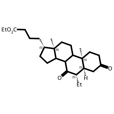 CCOC(=O)CCC[C@H]1CCC2C3C(=O)[C@@H](CC)[C@@H]4CC(=O)CC[C@]4(C)C3CC[C@@]21C